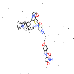 COc1cc(-c2cn(C)c(=O)c3cc(C(=O)NC4CCN(CCCCCOc5ccc6c(c5)CN(C5CCC(=O)NC5=O)C6=O)CC4(F)F)sc23)cc(OC)c1CN(C)C